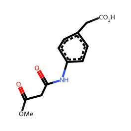 COC(=O)CC(=O)Nc1ccc(CC(=O)O)cc1